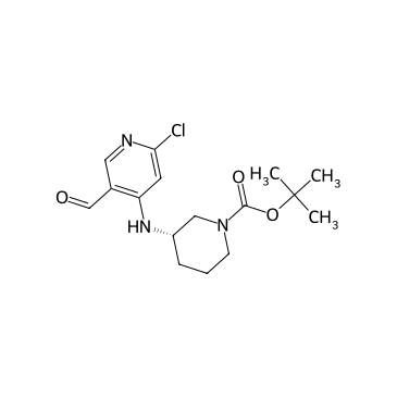 CC(C)(C)OC(=O)N1CCC[C@H](Nc2cc(Cl)ncc2C=O)C1